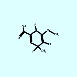 COC1=C(F)C(C)(F)C=C(C(=O)O)C1F